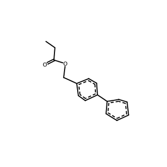 CCC(=O)OCc1ccc(-c2ccccc2)cc1